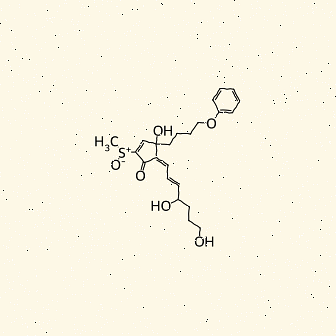 C[S+]([O-])C1=CC(O)(CCCCOc2ccccc2)/C(=C/C=C/C(O)CCCO)C1=O